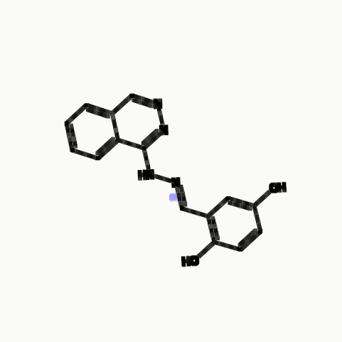 Oc1ccc(O)c(/C=N/Nc2nncc3ccccc23)c1